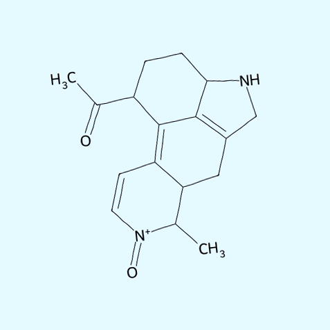 CC(=O)C1CCC2NCC3=C2C1=C1C=C[N+](=O)C(C)C1C3